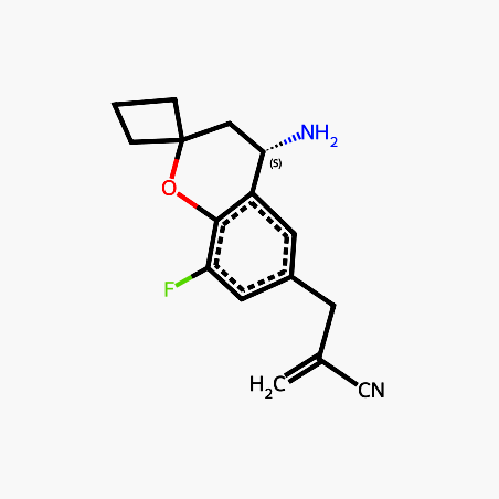 C=C(C#N)Cc1cc(F)c2c(c1)[C@@H](N)CC1(CCC1)O2